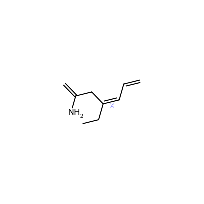 C=C/C=C(/CC)CC(=C)N